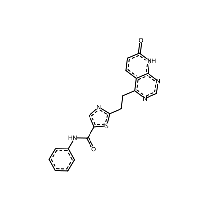 O=C(Nc1ccccc1)c1cnc(CCc2ncnc3[nH]c(=O)ccc23)s1